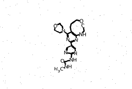 CNC(=O)Nc1ncc(-c2nc3c(c(N4CCOCC4)n2)CCCOCCN3)cn1